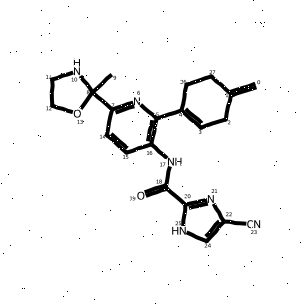 C=C1CC=C(c2nc(C3(C)NCCO3)ccc2NC(=O)c2nc(C#N)c[nH]2)CC1